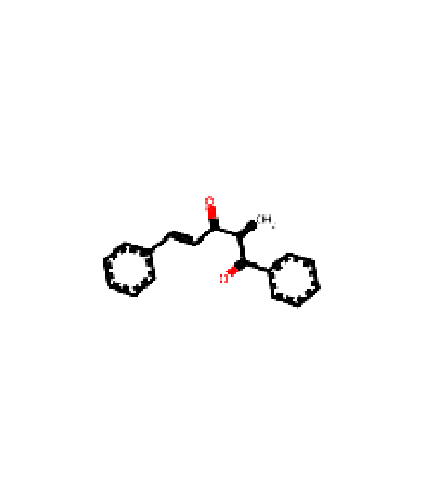 C=C(C(=O)/C=C/c1ccccc1)C(=O)c1ccccc1